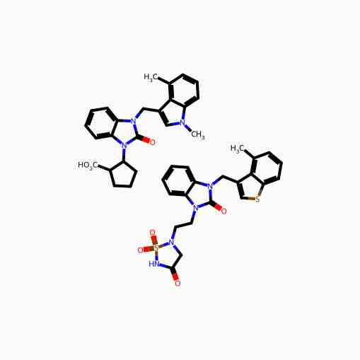 Cc1cccc2c1c(Cn1c(=O)n(C3CCCC3C(=O)O)c3ccccc31)cn2C.Cc1cccc2scc(Cn3c(=O)n(CCN4CC(=O)NS4(=O)=O)c4ccccc43)c12